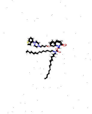 CCCCCCCCCCCCCCN(CCCCCCCCCCCCCC)C(=O)OCn1c(=O)ccc2ccc(OCCCCN3CCN(c4cccc5sccc45)CC3)cc21